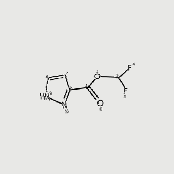 O=C(OC(F)F)c1cc[nH]n1